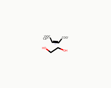 O=C([O-])/C=C\C(=O)[O-].OCCO.[Ca+2]